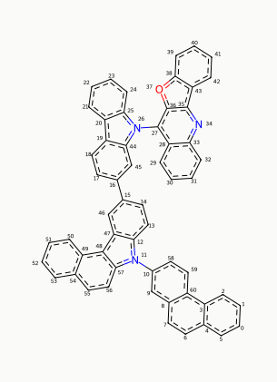 c1ccc2c(c1)ccc1cc(-n3c4ccc(-c5ccc6c7ccccc7n(-c7c8ccccc8nc8c7oc7ccccc78)c6c5)cc4c4c5ccccc5ccc43)ccc12